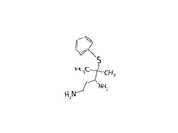 CC(C)(Sc1ccccc1)C(N)CCN